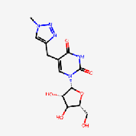 Cn1cc(Cc2cn([C@@H]3O[C@H](CO)C(O)[C@@H]3O)c(=O)[nH]c2=O)nn1